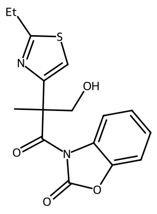 CCc1nc(C(C)(CO)C(=O)n2c(=O)oc3ccccc32)cs1